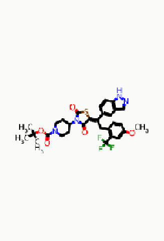 COc1ccc(C/C(=C2/SC(=O)N(C3CCN(C(=O)OC(C)(C)C)CC3)C2=O)c2ccc3[nH]ncc3c2)c(C(F)(F)F)c1